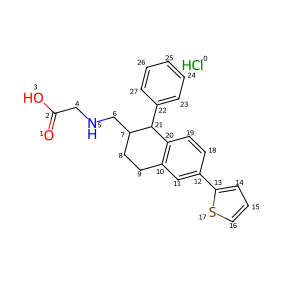 Cl.O=C(O)CNCC1CCc2cc(-c3cccs3)ccc2C1c1ccccc1